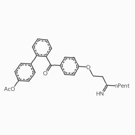 CCCCCC(=N)CCOc1ccc(C(=O)c2ccccc2-c2ccc(OC(C)=O)cc2)cc1